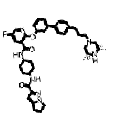 C[C@@H]1CN(CCCc2ccc(-c3cccc(Oc4ncc(F)cc4C(=O)N[C@H]4CC[C@@H](NC(=O)c5cc6n(n5)CCC6)CC4)c3)cc2)C[C@H](C)N1